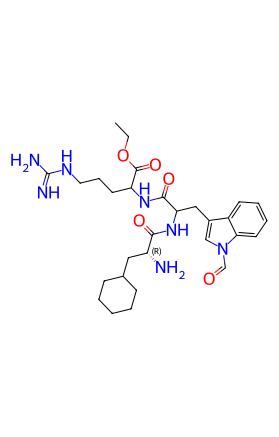 CCOC(=O)C(CCCNC(=N)N)NC(=O)C(Cc1cn(C=O)c2ccccc12)NC(=O)[C@H](N)CC1CCCCC1